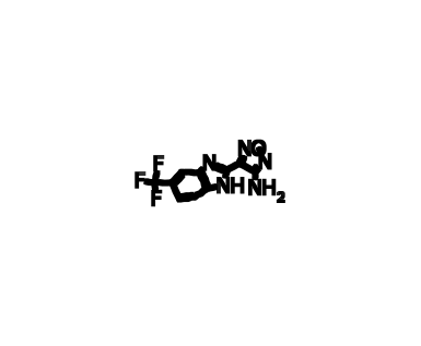 Nc1nonc1-c1nc2cc(C(F)(F)F)ccc2[nH]1